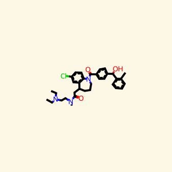 CCN(CC)CCN(C)C(=O)CC1CCCN(C(=O)c2ccc(C(O)c3ccccc3C)cc2)c2ccc(Cl)cc21